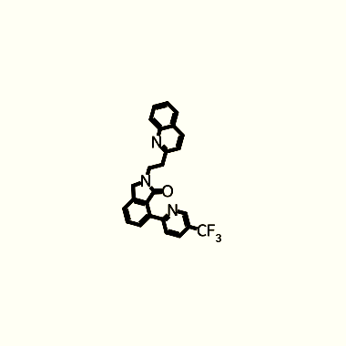 O=C1c2c(cccc2-c2ccc(C(F)(F)F)cn2)CN1CCc1ccc2ccccc2n1